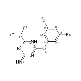 N=C(Br)/N=C(\NCC(F)F)Oc1cc(F)cc(F)c1